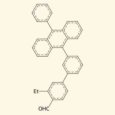 CCc1cc(-c2cccc(-c3c4ccccc4c(-c4ccccc4)c4ccccc34)c2)ccc1C=O